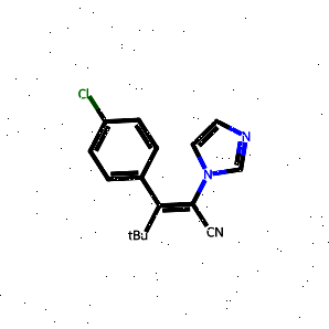 CC(C)(C)C(=C(C#N)n1ccnc1)c1ccc(Cl)cc1